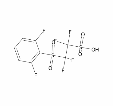 O=S(=O)(O)C(F)(F)C(F)(F)S(=O)(=O)c1c(F)cccc1F